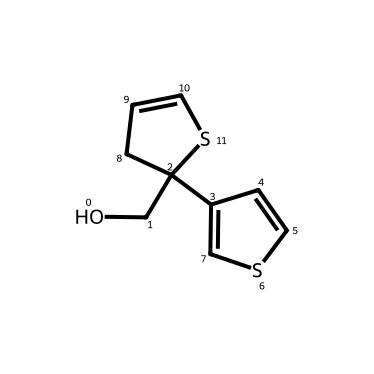 OCC1(c2ccsc2)CC=CS1